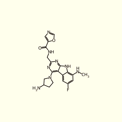 CNc1cc(F)cc2c1[nH]c1nc(CNC(=O)c3cnco3)nc(N3CCC(N)C3)c12